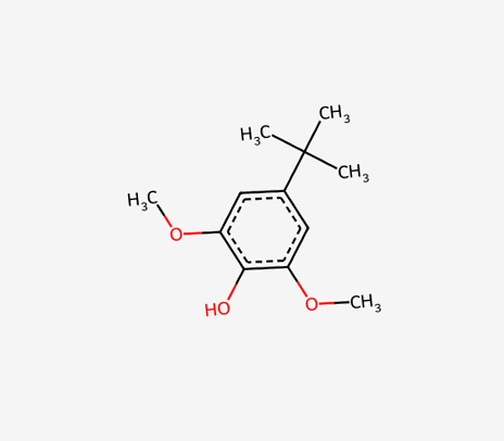 COc1cc(C(C)(C)C)cc(OC)c1O